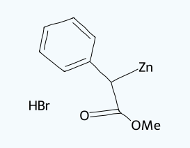 Br.COC(=O)[CH]([Zn])c1ccccc1